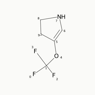 FC(F)(F)OC1=CNC[C]1